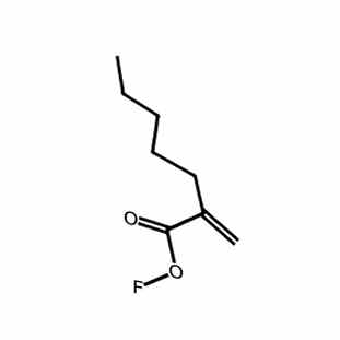 C=C(CCCCC)C(=O)OF